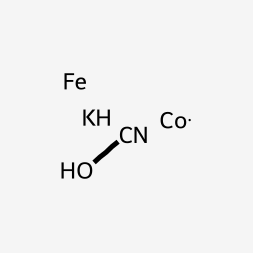 N#CO.[Co].[Fe].[KH]